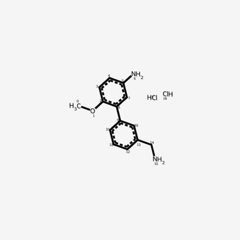 COc1ccc(N)cc1-c1cccc(CN)c1.Cl.Cl